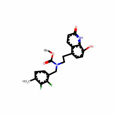 CC(C)(C)OC(=O)N(CCc1ccc(O)c2[nH]c(=O)ccc12)Cc1ccc(C(=O)O)c(F)c1F